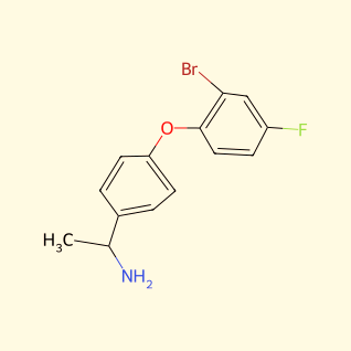 CC(N)c1ccc(Oc2ccc(F)cc2Br)cc1